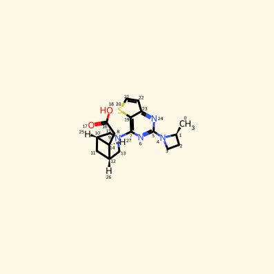 C[C@H]1CCN1c1nc(N2C[C@H]3C[C@@H](C2)[C@@H]3CC(=O)O)c2sccc2n1